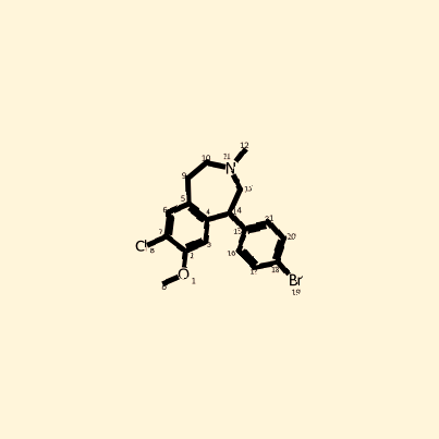 COc1cc2c(cc1Cl)CCN(C)CC2c1ccc(Br)cc1